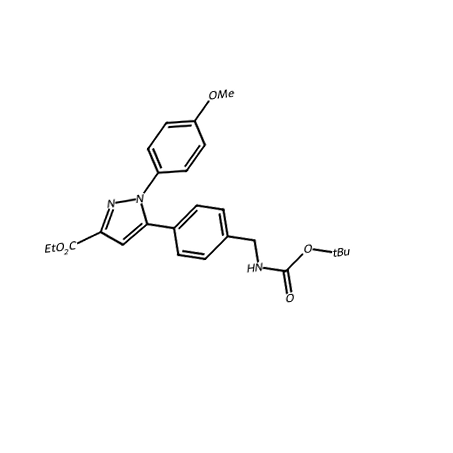 CCOC(=O)c1cc(-c2ccc(CNC(=O)OC(C)(C)C)cc2)n(-c2ccc(OC)cc2)n1